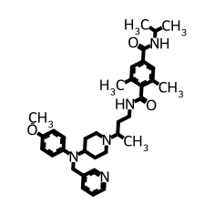 COc1ccc(N(Cc2cccnc2)C2CCN(C(C)CCNC(=O)c3c(C)cc(C(=O)NC(C)C)cc3C)CC2)cc1